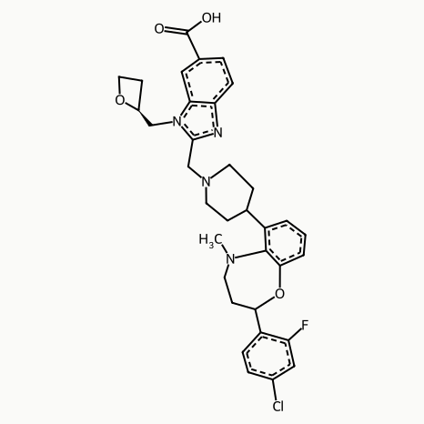 CN1CCC(c2ccc(Cl)cc2F)Oc2cccc(C3CCN(Cc4nc5ccc(C(=O)O)cc5n4C[C@@H]4CCO4)CC3)c21